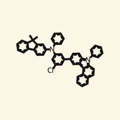 CC1(C)c2ccccc2-c2ccc(N(c3ccccc3)c3cc(Cl)cc(-c4ccc5c(c4)c4c6ccccc6ccc4n5-c4ccccc4)c3)cc21